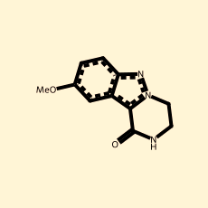 COc1ccc2nn3c(c2c1)C(=O)NCC3